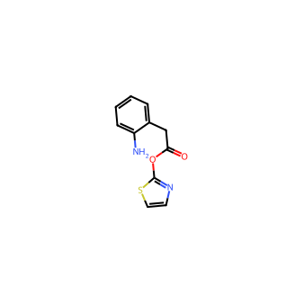 Nc1ccccc1CC(=O)Oc1nccs1